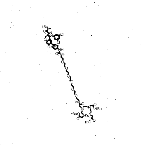 COc1cc2c(cc1-c1ccc(NC(=O)NCCOCCOCCOCCOCCOCCOCCNC(=O)CN3CCN(CC(=O)OC(C)(C)C)CCN(CC(=O)OC(C)(C)C)CCN(CC(=O)OC(C)(C)C)CC3)cc1)-c1c(c(C(=O)N(C)C(C)(C)C)nn1-c1cc(Cl)cc(Cl)c1)CO2